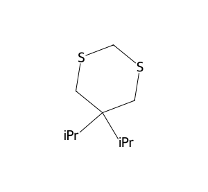 CC(C)C1(C(C)C)CSCSC1